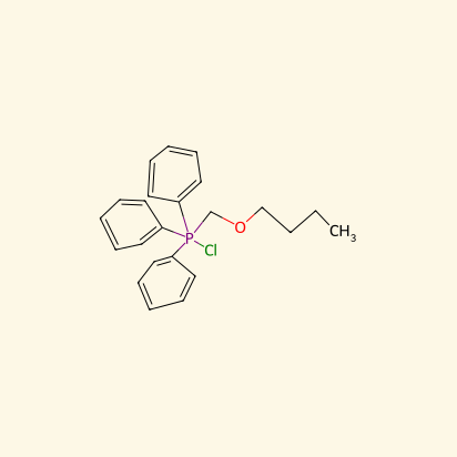 CCCCOCP(Cl)(c1ccccc1)(c1ccccc1)c1ccccc1